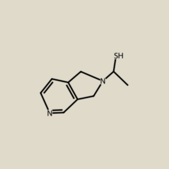 CC(S)N1Cc2ccncc2C1